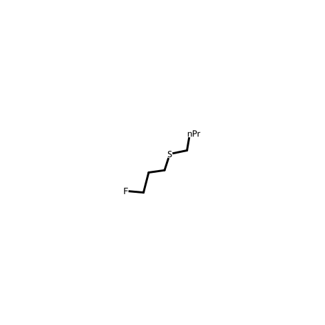 [CH2]CCCSCCCF